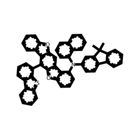 CC1(C)c2ccccc2-c2ccc(N(c3cccc4ccccc34)c3cccc4oc5c(-c6cccc7c6sc6ccccc67)c6c(cc5c34)oc3ccccc36)cc21